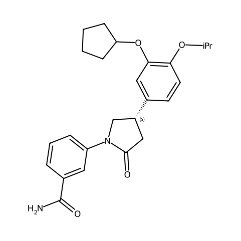 CC(C)Oc1ccc([C@@H]2CC(=O)N(c3cccc(C(N)=O)c3)C2)cc1OC1CCCC1